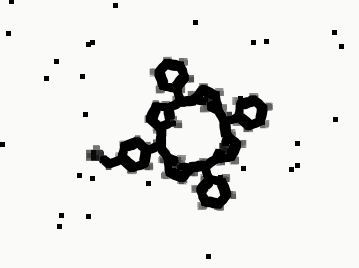 OCc1ccc(C2=C3C=CC(=N3)C(c3ccccc3)=C3C=CC(=N3)C(c3ccccc3)=C3C=CC(=N3)C(c3ccccc3)=C3C=CC2=N3)cc1